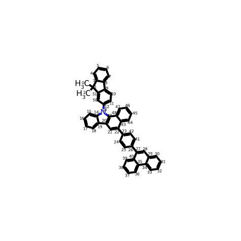 CC1(C)c2ccccc2-c2ccc(-n3c4ccccc4c4cc(-c5ccc(-c6cc7ccccc7c7ccccc67)cc5)c5ccccc5c43)cc21